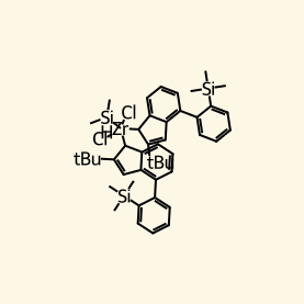 C[SiH](C)[Zr]([Cl])([Cl])([CH]1C(C(C)(C)C)=Cc2c(-c3ccccc3[Si](C)(C)C)cccc21)[CH]1C(C(C)(C)C)=Cc2c(-c3ccccc3[Si](C)(C)C)cccc21